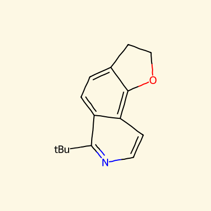 CC(C)(C)c1nccc2c3c(ccc12)CCO3